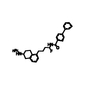 CCCN[C@H]1CCc2c(CCCC(F)NC(=O)c3ccc(-c4ccccc4)cc3)cccc2C1